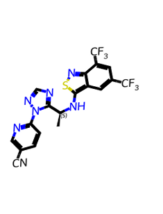 C[C@H](Nc1snc2c(C(F)(F)F)cc(C(F)(F)F)cc12)c1ncnn1-c1ccc(C#N)cn1